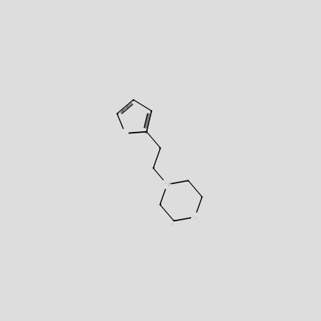 c1csc(CCN2CC[N]CC2)c1